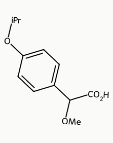 COC(C(=O)O)c1ccc(OC(C)C)cc1